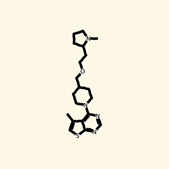 Cc1csc2ncnc(N3CCC(COCCC4CCCN4C)CC3)c12